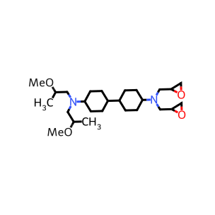 COC(C)CN(CC(C)OC)C1CCC(C2CCC(N(CC3CO3)CC3CO3)CC2)CC1